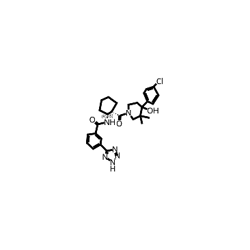 CC1(C)CN(C(=O)[C@H]2CCCC[C@H]2NC(=O)c2cccc(-c3nn[nH]n3)c2)CCC1(O)c1ccc(Cl)cc1